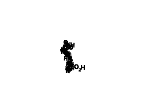 O=C1NC(=O)C(=Cc2ccnc(N3CCC(CNCc4cnc(-c5ccncc5F)c(C(=O)O)c4)CC3)n2)S1